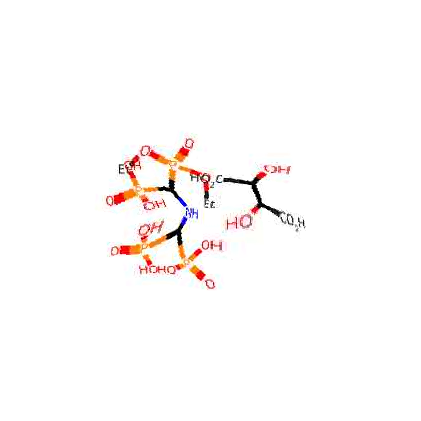 CCOP(=O)(OCC)C(NC(P(=O)(O)O)P(=O)(O)O)P(=O)(O)O.O=C(O)C(O)C(O)C(=O)O